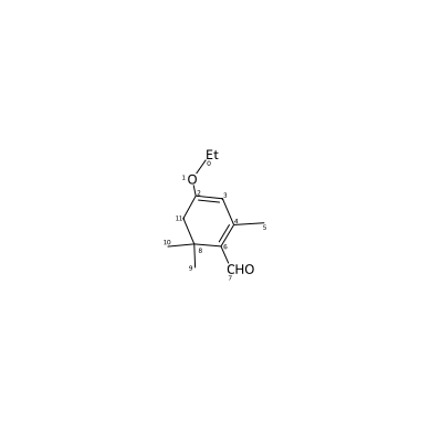 CCOC1=CC(C)=C(C=O)C(C)(C)C1